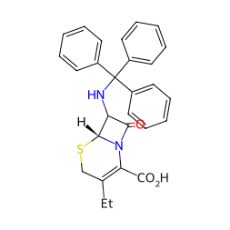 CCC1=C(C(=O)O)N2C(=O)C(NC(c3ccccc3)(c3ccccc3)c3ccccc3)[C@H]2SC1